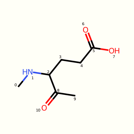 CNC(CCC(=O)O)C(C)=O